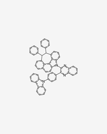 c1ccc(C2c3cccc4ccc5c(c34)c3c(cccc3n5-c3nc4ccccc4nc3-c3ccc(-n4c5ccccc5c5ccccc54)cc3)C2c2ccccc2)cc1